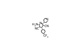 N#Cc1c(N)nc(-c2ccncc2)c(C#N)c1-c1ccc(C(F)(F)F)cc1